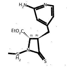 CCOC(=O)[C@@H]1[C@@H](Cc2ccnc(N)c2)C(=S)N1[SiH2]C